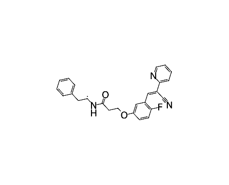 N#CC(=Cc1cc(OCCC(=O)N[CH]Cc2ccccc2)ccc1F)c1ccccn1